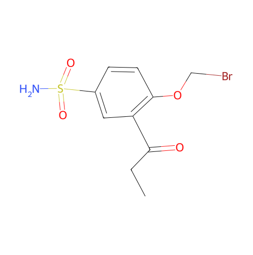 CCC(=O)c1cc(S(N)(=O)=O)ccc1OCBr